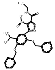 CCNC(=O)c1noc(-c2cc(C(C)C)c(OCc3ccccc3)cc2OCc2ccccc2)c1[N+](=O)[O-]